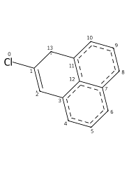 ClC1=[C]c2cccc3cccc(c23)[CH]1